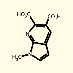 Cn1ccc2cc(C(=O)O)c(C(=O)O)nc21